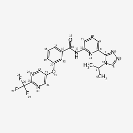 CC(C)n1cnnc1-c1cccc(NC(=O)c2cccc(Oc3cnc(C(F)(F)F)nc3)c2)n1